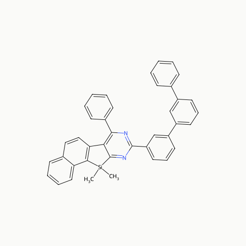 C[Si]1(C)c2nc(-c3cccc(-c4cccc(-c5ccccc5)c4)c3)nc(-c3ccccc3)c2-c2ccc3ccccc3c21